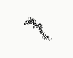 CC(N)C(=O)OCCn1cc(-c2cc3nccc(Oc4ccc(NC(=O)C5(C(=O)Nc6ccc(F)cc6)CC5)cc4F)c3s2)cn1